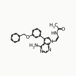 CC(=O)N/C=C\n1cc(-c2cccc(OCc3ccccc3)c2)c2c(N)ncnc21